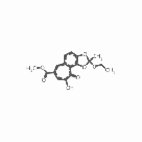 CCOC1(C)Oc2ccc3cc(C(=O)OC)cc(O)c(=O)c3c2O1